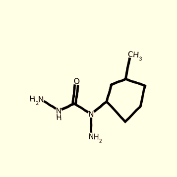 CC1CCCC(N(N)C(=O)NN)C1